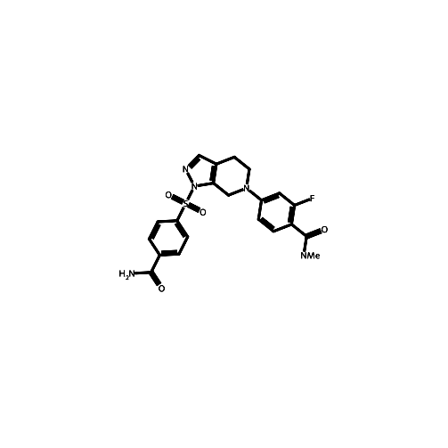 CNC(=O)c1ccc(N2CCc3cnn(S(=O)(=O)c4ccc(C(N)=O)cc4)c3C2)cc1F